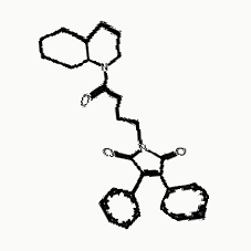 O=C1C(c2ccccc2)=C(c2ccccc2)C(=O)N1CCCC(=O)N1CCCC2CCCCC21